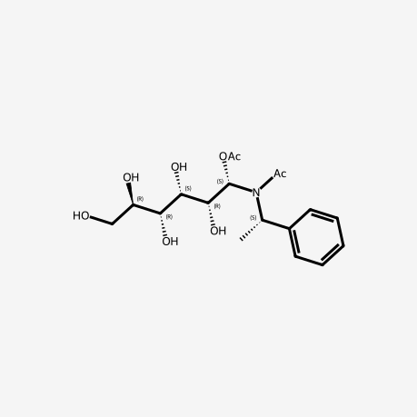 CC(=O)O[C@@H]([C@H](O)[C@@H](O)[C@H](O)[C@H](O)CO)N(C(C)=O)[C@@H](C)c1ccccc1